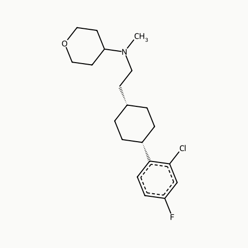 CN(CC[C@H]1CC[C@@H](c2ccc(F)cc2Cl)CC1)C1CCOCC1